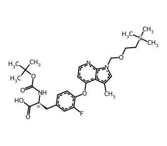 Cc1cn(COCC[Si](C)(C)C)c2nccc(Oc3ccc(C[C@H](NC(=O)OC(C)(C)C)C(=O)O)cc3F)c12